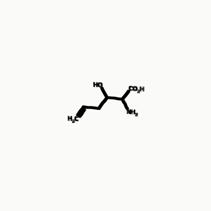 C=CCC(O)C(N)C(=O)O